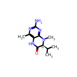 Cc1nc(N)nc2c1NC(=O)[C@H](C(C)C)N2C